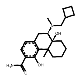 CN(CC1CCC1)[C@@H]1Cc2ccc(C(N)=O)c(O)c2C2(C)CCCC[C@@]12O